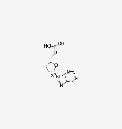 OP(O)OCC1CC[C@H](n2cnc3cncnc32)O1